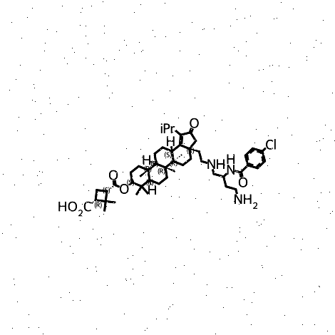 CC(C)C1=C2[C@H]3CC[C@@H]4[C@@]5(C)CC[C@H](OC(=O)[C@H]6C[C@@H](C(=O)O)C6(C)C)C(C)(C)[C@@H]5CC[C@@]4(C)[C@]3(C)CC[C@@]2(CCNCC(CCN)NC(=O)c2ccc(Cl)cc2)CC1=O